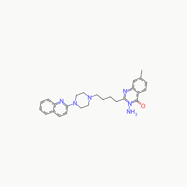 Cc1ccc2c(=O)n(N)c(CCCCN3CCN(c4ccc5ccccc5n4)CC3)nc2c1